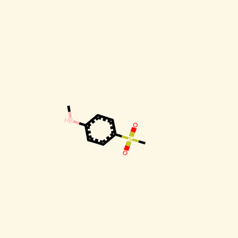 CBc1ccc(S(C)(=O)=O)cc1